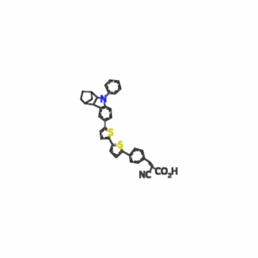 N#C/C(=C\c1ccc(-c2ccc(-c3ccc(-c4ccc5c(c4)C4C6CCC(C6)C4N5c4ccccc4)s3)s2)cc1)C(=O)O